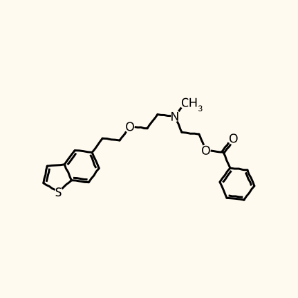 CN(CCOCCc1ccc2sccc2c1)CCOC(=O)c1ccccc1